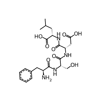 CC(C)C[C@H](NC(=O)[C@H](CC(=O)O)NC(=O)[C@H](CO)NC(=O)[C@@H](N)Cc1ccccc1)C(=O)O